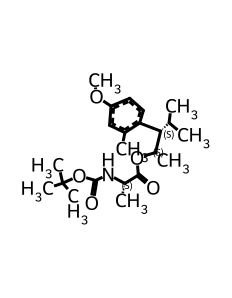 COc1ccc([C@H](C(C)C)[C@H](C)OC(=O)[C@H](C)NC(=O)OC(C)(C)C)c(C)c1